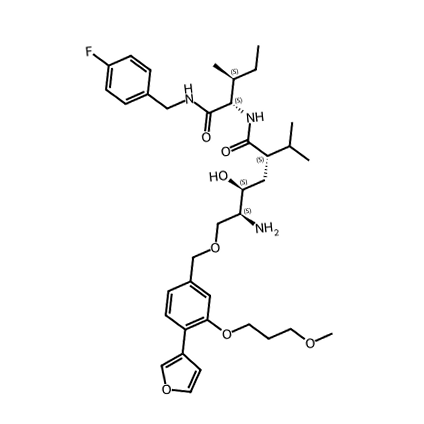 CC[C@H](C)[C@H](NC(=O)[C@@H](C[C@H](O)[C@@H](N)COCc1ccc(-c2ccoc2)c(OCCCOC)c1)C(C)C)C(=O)NCc1ccc(F)cc1